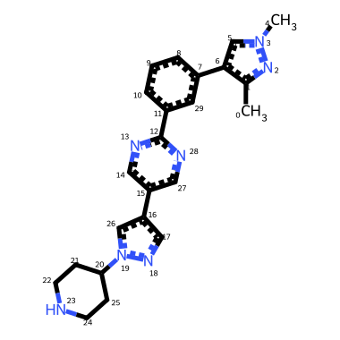 Cc1nn(C)cc1-c1cccc(-c2ncc(-c3cnn(C4CCNCC4)c3)cn2)c1